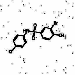 Cc1ccc(S(=O)(=O)Nc2ccc(Cl)cc2)cc1Br